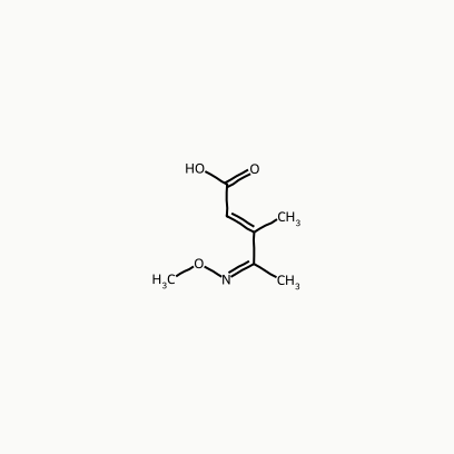 CON=C(C)C(C)=CC(=O)O